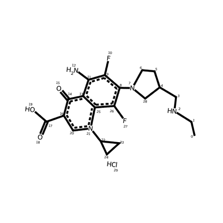 CCNCC1CCN(c2c(F)c(N)c3c(=O)c(C(=O)O)cn(C4CC4)c3c2F)C1.Cl